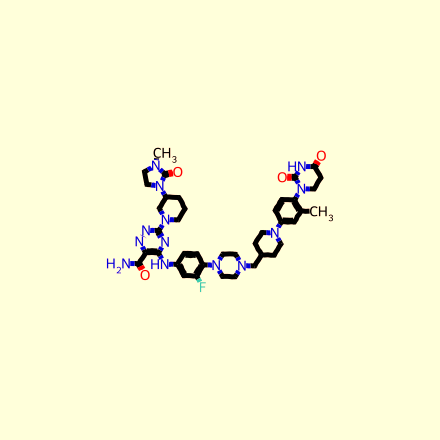 Cc1cc(N2CCC(CN3CCN(c4ccc(Nc5nc(N6CCCC(N7CCN(C)C7=O)C6)nnc5C(N)=O)cc4F)CC3)CC2)ccc1N1CCC(=O)NC1=O